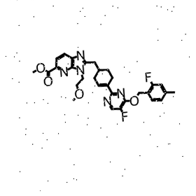 COCCn1c(CC2CC=C(c3ncc(F)c(OCc4ccc(C)cc4F)n3)CC2)nc2ccc(C(=O)OC)nc21